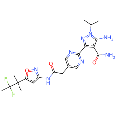 CC(C)n1nc(-c2ncc(CC(=O)Nc3cc(C(C)(C)C(C)(F)F)on3)cn2)c(C(N)=O)c1N